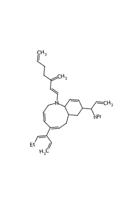 C=CCCC(=C)/C=C/N1C\C=C/C(C(/C=C)=C/CC)=C\CC2CC(C(C=C)CCC)C=CC21